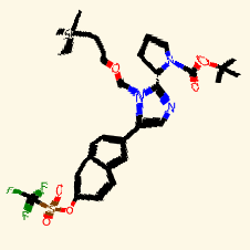 CC(C)(C)OC(=O)N1CCC[C@H]1c1ncc(-c2ccc3cc(OS(=O)(=O)C(F)(F)F)ccc3c2)n1COCC[Si](C)(C)C